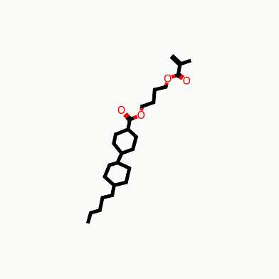 C=C(C)C(=O)OCCCCOC(=O)C1CCC(C2CCC(CCCCC)CC2)CC1